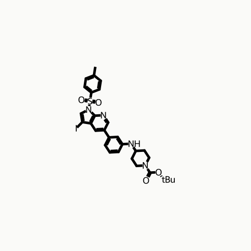 Cc1ccc(S(=O)(=O)n2cc(I)c3cc(-c4cccc(NC5CCN(C(=O)OC(C)(C)C)CC5)c4)cnc32)cc1